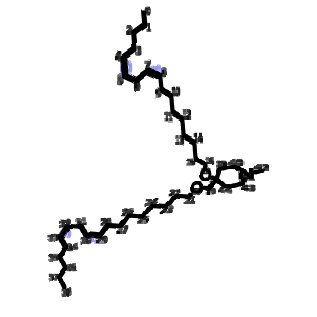 CCCC/C=C\C/C=C\CCCCCCCCOC1(COCCCCCCCC/C=C\C/C=C\CCCCC)CCN(C)CC1